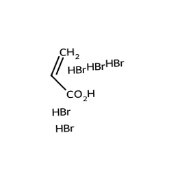 Br.Br.Br.Br.Br.C=CC(=O)O